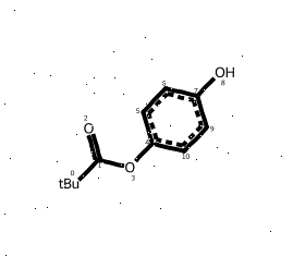 CC(C)(C)C(=O)Oc1ccc(O)cc1